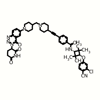 CC1(C)[C@H](NC(=O)c2ccc(C#CC3CCN(CC4CCN(c5ccc6nnn(C7CCC(=O)NC7=O)c(=O)c6c5)CC4)CC3)cc2)C(C)(C)[C@H]1Oc1ccc(C#N)c(Cl)c1